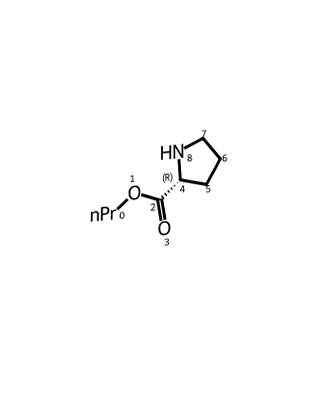 [CH2]CCOC(=O)[C@H]1CCCN1